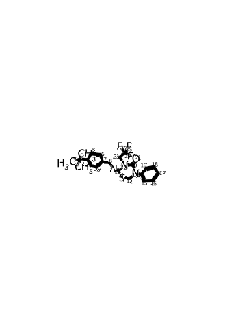 CC(C)(C)c1ccc(CN=C2SCN(c3ccccc3)C(=O)N2CC(F)(F)F)cc1